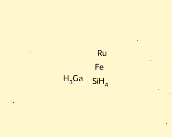 [Fe].[GaH3].[Ru].[SiH4]